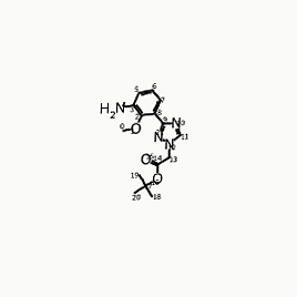 COc1c(N)cccc1-c1ncn(CC(=O)OC(C)(C)C)n1